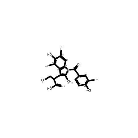 CCC(C(=O)O)c1c(C)n(C(=O)c2ccc(Cl)c(F)c2)c2cc(F)c(O)c(F)c12